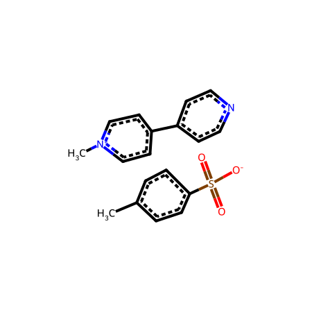 C[n+]1ccc(-c2ccncc2)cc1.Cc1ccc(S(=O)(=O)[O-])cc1